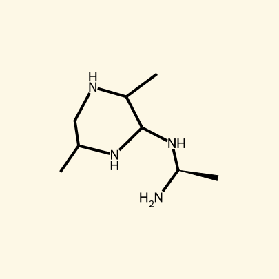 CC1CNC(C)C(N[C@@H](C)N)N1